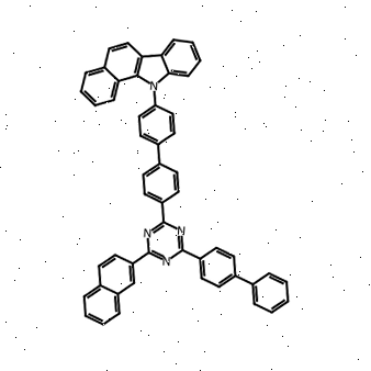 c1ccc(-c2ccc(-c3nc(-c4ccc(-c5ccc(-n6c7ccccc7c7ccc8ccccc8c76)cc5)cc4)nc(-c4ccc5ccccc5c4)n3)cc2)cc1